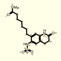 COC(=O)CCCCCCc1cc2c(cc1N[SH](=O)=O)CCC(=O)N2